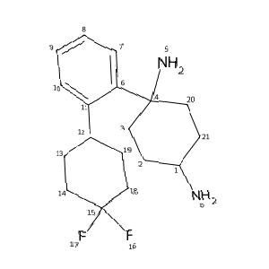 NC1CCC(N)(c2ccccc2C2CCC(F)(F)CC2)CC1